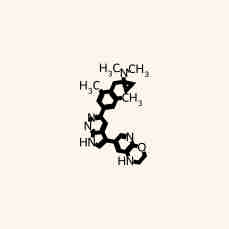 Cc1cc(-c2cc3c(-c4cnc5c(c4)NCCO5)c[nH]c3nn2)cc(C)c1CC1(N(C)C)CC1